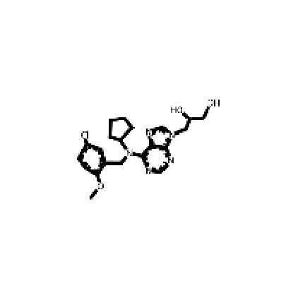 COc1ccc(Cl)cc1CN(c1ncnc2c1ncn2CC(O)CO)C1CCCC1